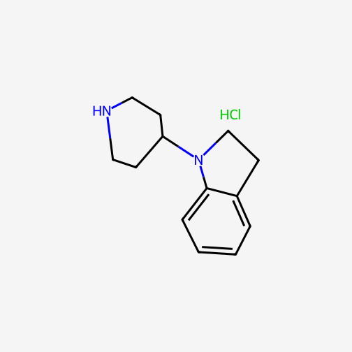 Cl.c1ccc2c(c1)CCN2C1CCNCC1